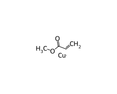 C=CC(=O)OC.[Cu]